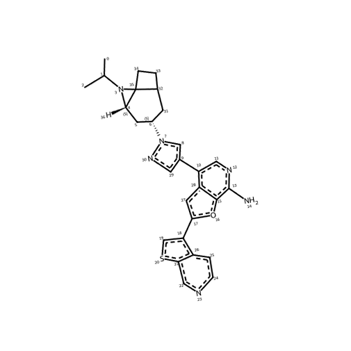 CC(C)N1[C@H]2C[C@@H](n3cc(-c4cnc(N)c5oc(-c6csc7cnccc67)cc45)cn3)CC3CCC321